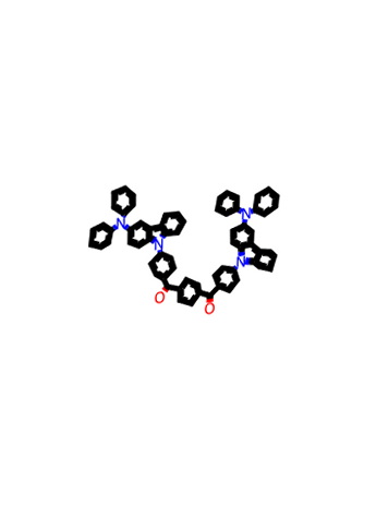 O=C(c1ccc(C(=O)c2ccc(-n3c4ccccc4c4cc(N(c5ccccc5)c5ccccc5)ccc43)cc2)cc1)c1ccc(-n2c3ccccc3c3cc(N(c4ccccc4)c4ccccc4)ccc32)cc1